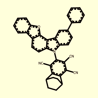 N#Cc1c(C#N)c(-n2c3ccc(-c4ccccc4)cc3c3c4oc5ccccc5c4ccc32)c(C#N)c2c1C1CCC2CC1